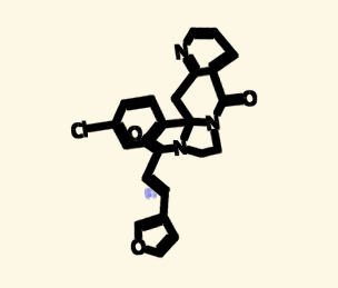 O=C(/C=C/c1ccoc1)N1CCN2C(=O)c3cccnc3CC12c1ccc(Cl)cc1